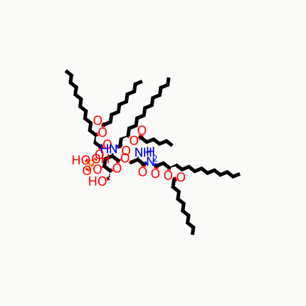 CCCCCCCCCCC[C@H](CC(=O)NC(=O)[C@@H](N)CO[C@H]1O[C@H](CO)[C@@H](OP(=O)(O)O)[C@H](OC(=O)C[C@@H](CCCCCCCCCCC)OC(=O)CCCCCCCCC)[C@H]1NC(=O)C[C@@H](CCCCCCCCCCC)OC(=O)CCCCC)OC(=O)CCCCCCCCC